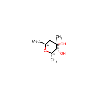 CO[C@H]1C[C@@](C)(O)[C@H](O)[C@H](C)O1